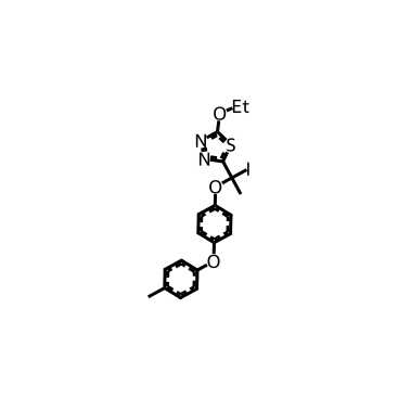 CCOc1nnc(C(C)(I)Oc2ccc(Oc3ccc(C)cc3)cc2)s1